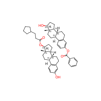 C[C@]12CC[C@@H]3c4ccc(O)cc4CC[C@H]3[C@@H]1CC[C@@H]2OC(=O)CCC1CCCC1.C[C@]12CC[C@@H]3c4ccc(OC(=O)c5ccccc5)cc4CC[C@H]3[C@@H]1CC[C@@H]2O